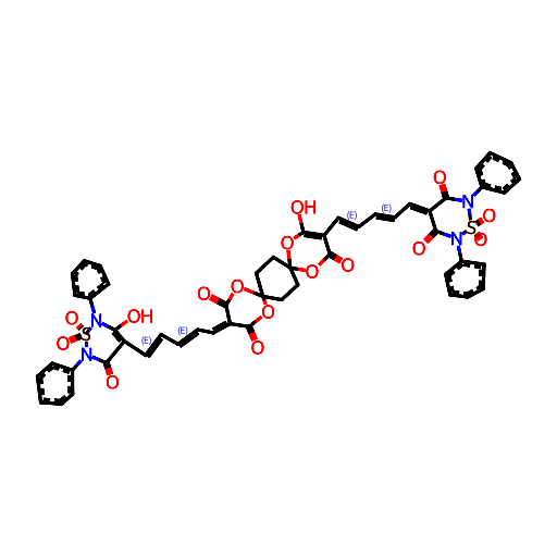 O=C1OC2(CCC3(CC2)OC(=O)C(/C=C/C=C/C=C2C(=O)N(c4ccccc4)S(=O)(=O)N(c4ccccc4)C2=O)=C(O)O3)OC(=O)C1=C/C=C/C=C/C1=C(O)N(c2ccccc2)S(=O)(=O)N(c2ccccc2)C1=O